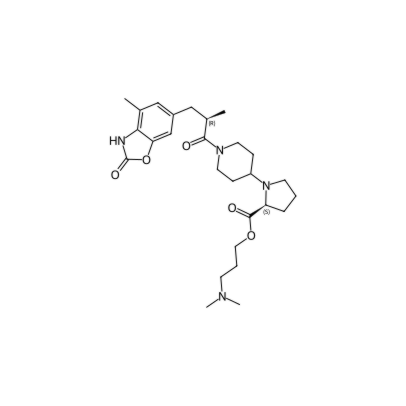 Cc1cc(C[C@@H](C)C(=O)N2CCC(N3CCC[C@H]3C(=O)OCCCN(C)C)CC2)cc2oc(=O)[nH]c12